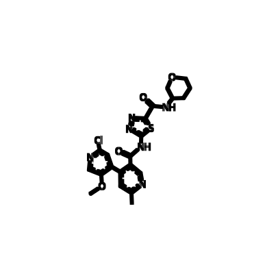 COc1cnc(Cl)cc1-c1cc(C)ncc1C(=O)Nc1nnc(C(=O)NC2CCCOC2)s1